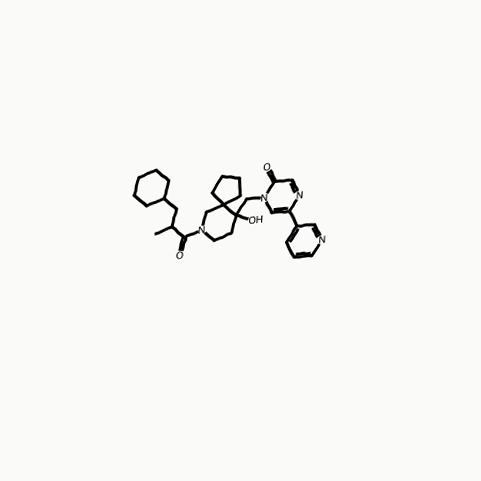 CC(CC1CCCCC1)C(=O)N1CCC(O)(Cn2cc(-c3cccnc3)ncc2=O)C2(CCCC2)C1